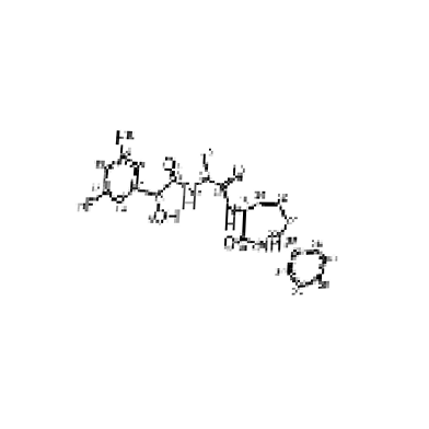 C[C@H](NC(=O)[C@@H](O)c1cc(F)cc(F)c1)C(=O)N[C@H]1C=CC[C@H](c2ccccc2)NC1=O